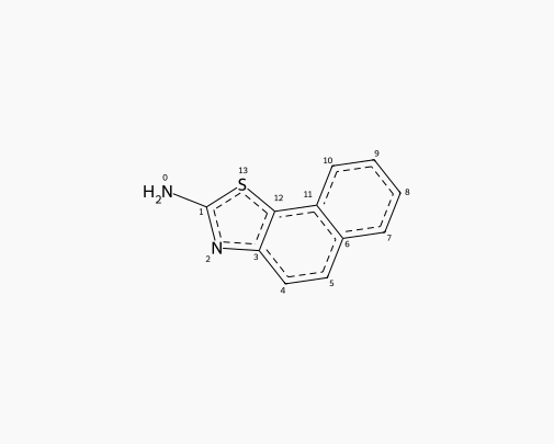 Nc1nc2ccc3ccccc3c2s1